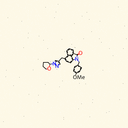 COc1ccc(CN2C(=O)c3cccc4c(Cc5cnn(C6CCCCO6)c5)ccc2c34)cc1